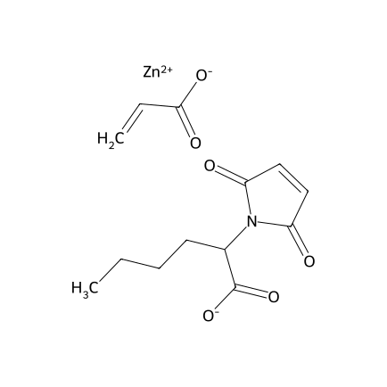 C=CC(=O)[O-].CCCCC(C(=O)[O-])N1C(=O)C=CC1=O.[Zn+2]